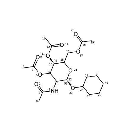 CC(=O)NC1C(OC(C)=O)[C@@H](OC(C)=O)C(COC(C)=O)O[C@H]1OC1CCCCC1